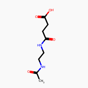 CC(=O)NCCNC(=O)CCC(=O)O